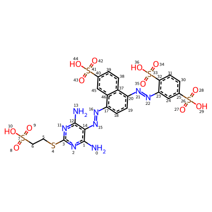 Nc1nc(SCCS(=O)(=O)O)nc(N)c1/N=N/c1ccc(/N=N/c2cc(S(=O)(=O)O)ccc2S(=O)(=O)O)c2ccc(S(=O)(=O)O)cc12